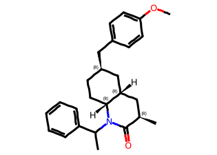 COc1ccc(C[C@@H]2CC[C@@H]3[C@H](C2)C[C@@H](C)C(=O)N3C(C)c2ccccc2)cc1